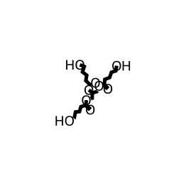 O=C(CCCCO)OCC(COC(=O)CCCCO)OC(=O)CCCCO